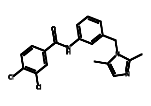 Cc1cnc(C)n1Cc1cccc(NC(=O)c2ccc(Cl)c(Cl)c2)c1